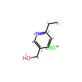 CCc1ccc(CO)cn1.Cl